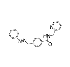 O=C(NCc1ccccn1)c1ccc(C/N=N/c2ccccc2)cc1